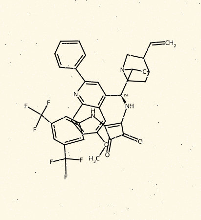 C=CC1CN2CCC1CC2[C@@H](Nc1c(Nc2cc(C(F)(F)F)cc(C(F)(F)F)c2)c(=O)c1=O)c1cc(-c2ccccc2)nc2ccc(OC)cc12